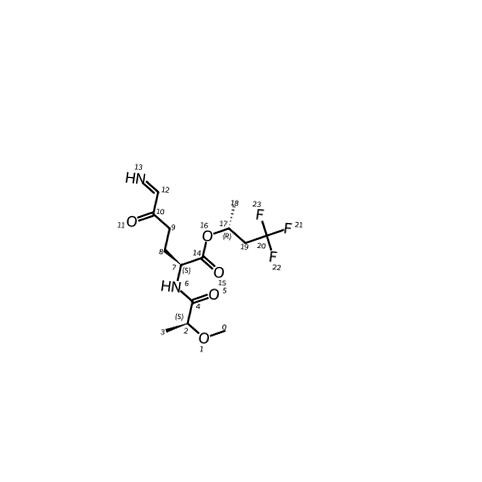 CO[C@@H](C)C(=O)N[C@@H](CCC(=O)C=N)C(=O)O[C@H](C)CC(F)(F)F